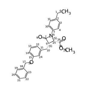 CCc1ccc(N2C(=O)[C@@H](Cc3cccc(OCc4ccccc4)c3)[C@H]2C(=O)OC)cc1